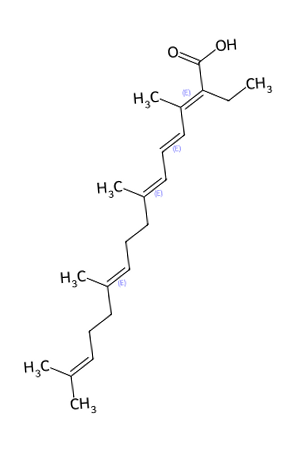 CC\C(C(=O)O)=C(C)/C=C/C=C(\C)CC/C=C(\C)CCC=C(C)C